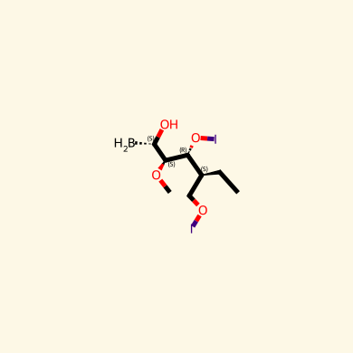 B[C@H](O)[C@H](OC)[C@H](OI)[C@@H](CC)COI